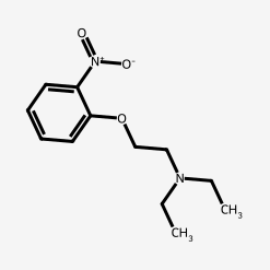 CCN(CC)CCOc1ccccc1[N+](=O)[O-]